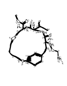 COC(=O)[C@@H]1COCCCCOc2ccc(cc2)C[C@H](BOCN)C(=O)N[C@@H](C(C)C)C(=O)N1